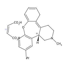 CC(C)c1ccc2c(c1)[C@H]1CN(C)CCC1=C1CC=CC=C1O2.O=C(O)/C=C\C(=O)O